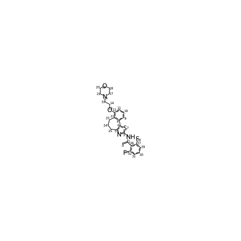 C=C(Nc1nc2c(s1)-c1cccc(OCCN3CCOCC3)c1CCC2)c1c(F)cccc1F